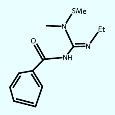 CC/N=C(/NC(=O)c1ccccc1)N(C)SC